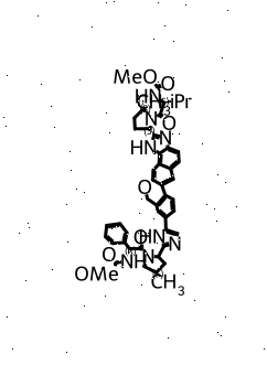 COC(=O)N[C@H](C(=O)N1[C@@H](C)CC[C@H]1c1nc2ccc3cc4c(cc3c2[nH]1)OCc1cc(-c2cnc(C3C[C@H](C)CN3C(=O)[C@H](NC(=O)OC)c3ccccc3)[nH]2)ccc1-4)C(C)C